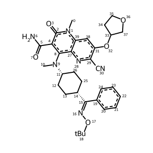 Cn1c(=O)c(C(N)=O)c(N(C)[C@H]2CC[C@@H](/C(=N/OC(C)(C)C)c3ccccc3)CC2)c2nc(C#N)c(OC3CCOC3)cc21